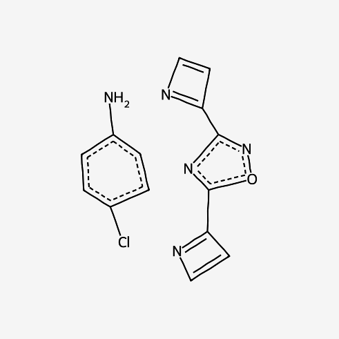 C1=CC(c2noc(C3=NC=C3)n2)=N1.Nc1ccc(Cl)cc1